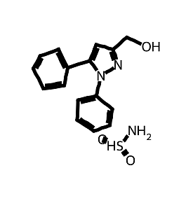 N[SH](=O)=O.OCc1cc(-c2ccccc2)n(-c2ccccc2)n1